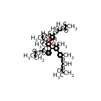 C=C(C)C(=O)OCC(O)COc1ccc(-c2cc(C)c(OCC(O)COC(=O)C(=C)C)c(C(c3ccccc3)c3cc(-c4ccc(OCC(O)COC(=O)C(=C)C)c(C)c4)cc(C)c3OCC(O)COC(=O)C(=C)C)c2)cc1C